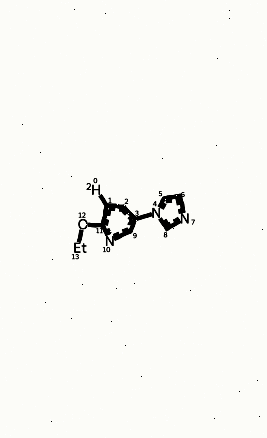 [2H]c1cc(-n2ccnc2)cnc1OCC